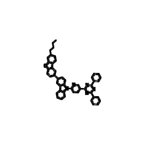 CCCCc1ccc2c(c1)oc1ccc(-c3ccc4c(c3)c3ccccc3n4-c3ccc(-c4nc(-c5ccccc5)nc(-c5ccccc5)n4)cn3)cc12